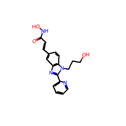 O=C(C=Cc1ccc2c(c1)nc(-c1ccccn1)n2CCCO)NO